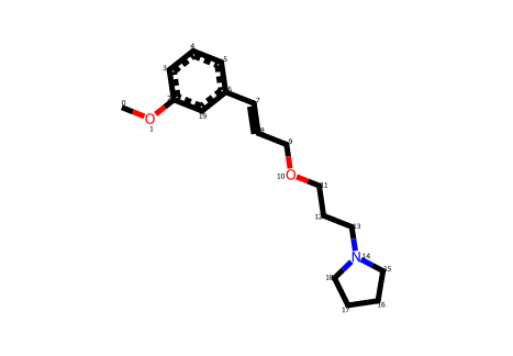 COc1cccc(/C=C/COCCCN2CCCC2)c1